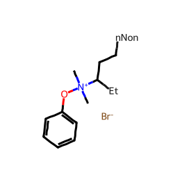 CCCCCCCCCCCC(CC)[N+](C)(C)Oc1ccccc1.[Br-]